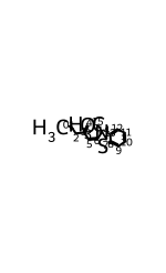 CCCC(=O)/C=C1/Sc2ccccc2N1C